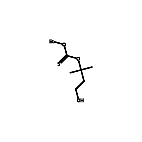 CCOC(=S)OC(C)(C)CCO